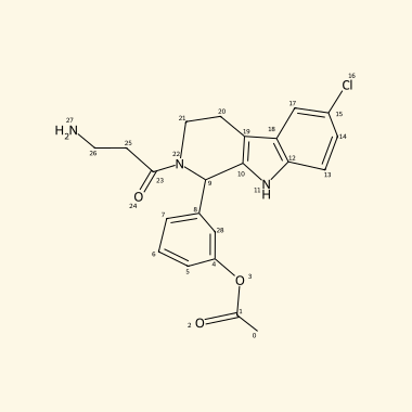 CC(=O)Oc1cccc(C2c3[nH]c4ccc(Cl)cc4c3CCN2C(=O)CCN)c1